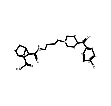 NC(=O)C1C2CCC(O2)C1C(=O)NCCCCN1CCC(C(=O)c2ccc(F)cc2)CC1